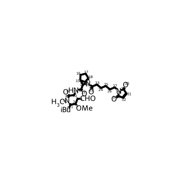 CCC(C)C(C(CC=O)OC)N(C)C(=O)CNC(=O)C1C2CCC(C2)N1C(=O)CCCCCN1C(=O)C=CC1=O